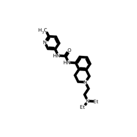 CCN(CC)CCN1CCc2c(cccc2NC(=O)Nc2ccc(C)nc2)C1